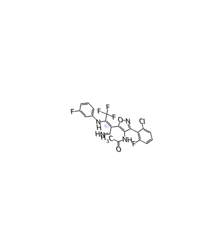 CC(=O)Nc1c(-c2c(F)cccc2Cl)noc1/C(C=N)=C(/Nc1cccc(F)c1)C(F)(F)F